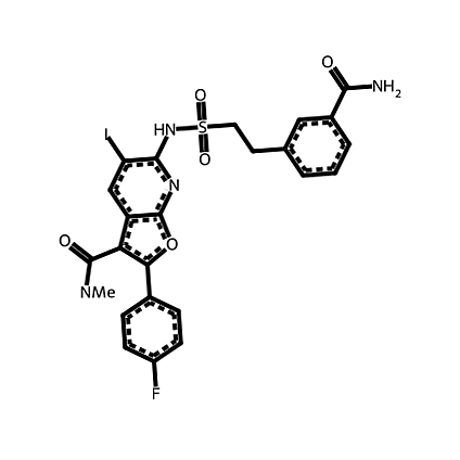 CNC(=O)c1c(-c2ccc(F)cc2)oc2nc(NS(=O)(=O)CCc3cccc(C(N)=O)c3)c(I)cc12